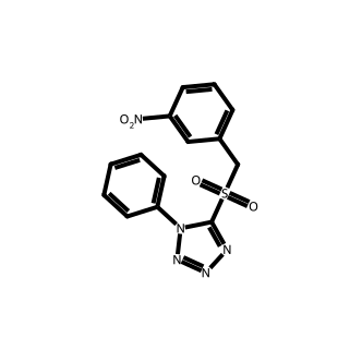 O=[N+]([O-])c1cccc(CS(=O)(=O)c2nnnn2-c2ccccc2)c1